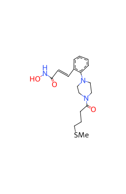 CSCCCC(=O)N1CCN(c2ccccc2/C=C/C(=O)NO)CC1